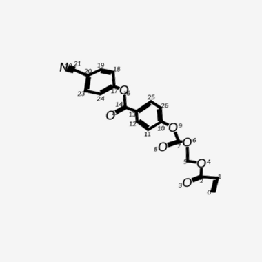 C=CC(=O)OCOC(=O)Oc1ccc(C(=O)Oc2ccc(C#N)cc2)cc1